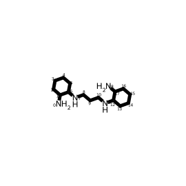 NC1CCCCC1NCCCNC1CCCCC1N